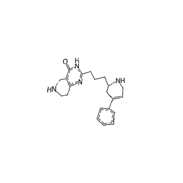 O=c1[nH]c(CCCC2CC(c3ccccc3)=CCN2)nc2c1CNCC2